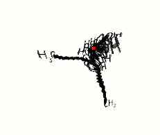 CCCCCCCCCCCCCCCCCC(=O)N[C@@H](CO[C@@H]1OC(CO)[C@H](O)[C@H](O[C@]2(C(=O)O)CC(O)[C@@H](C)[C@H]([C@H](O)[C@H](O)CO)O2)C1O)[C@H](O)[C@H](O)CCCCCCCCCCCCCC